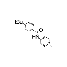 Cc1ccc(NC(=O)c2ccc(C(C)(C)C)cc2)cc1